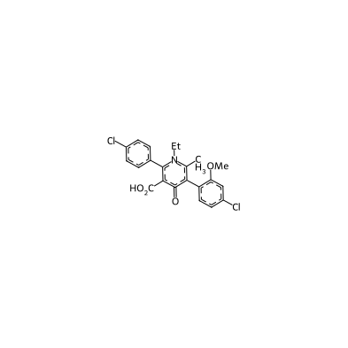 CCn1c(C)c(-c2ccc(Cl)cc2OC)c(=O)c(C(=O)O)c1-c1ccc(Cl)cc1